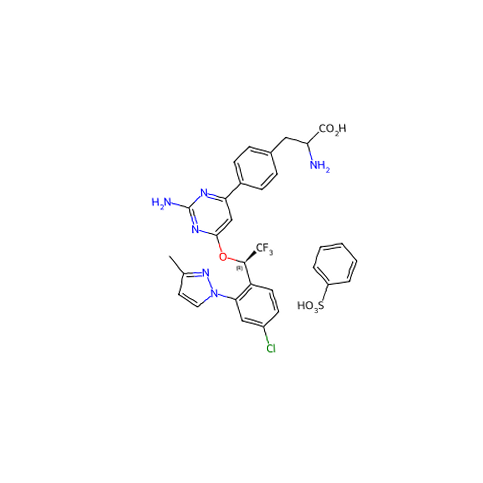 Cc1ccn(-c2cc(Cl)ccc2[C@@H](Oc2cc(-c3ccc(CC(N)C(=O)O)cc3)nc(N)n2)C(F)(F)F)n1.O=S(=O)(O)c1ccccc1